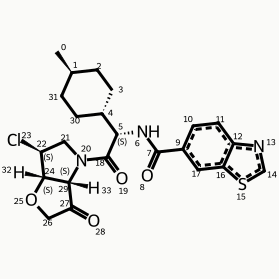 C[C@H]1CC[C@H]([C@H](NC(=O)c2ccc3ncsc3c2)C(=O)N2C[C@H](Cl)[C@H]3OCC(=O)[C@H]32)CC1